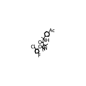 CC(=O)c1ccc([C@H](C)NC(=O)c2c(C)nn(C)c2Oc2cc(F)ccc2Cl)cc1